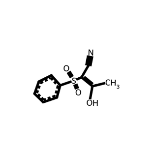 CC(O)=C(C#N)S(=O)(=O)c1ccccc1